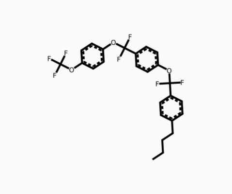 CCCCc1ccc(C(F)(F)Oc2ccc(C(F)(F)Oc3ccc(OC(F)(F)F)cc3)cc2)cc1